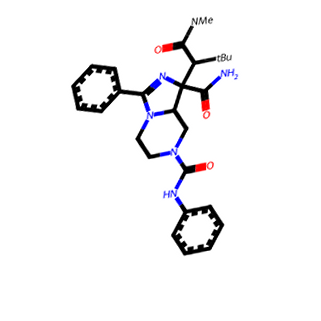 CNC(=O)C(C(C)(C)C)C1(C(N)=O)N=C(c2ccccc2)N2CCN(C(=O)Nc3ccccc3)CC21